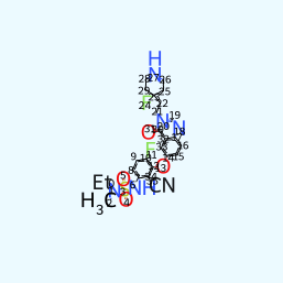 CCN(C)S(=O)(=O)Nc1ccc(F)c(Oc2ccc3ncn(CCC4(F)CCNCC4)c(=O)c3c2)c1C#N